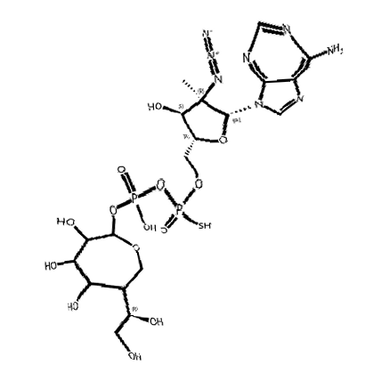 C[C@@]1(N=[N+]=[N-])[C@H](O)[C@@H](COP(=O)(S)OP(=O)(O)OC2OCC([C@@H](O)CO)C(O)C(O)C2O)O[C@H]1n1cnc2c(N)ncnc21